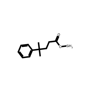 CC(C)(CCC(=O)O[SiH3])c1ccccc1